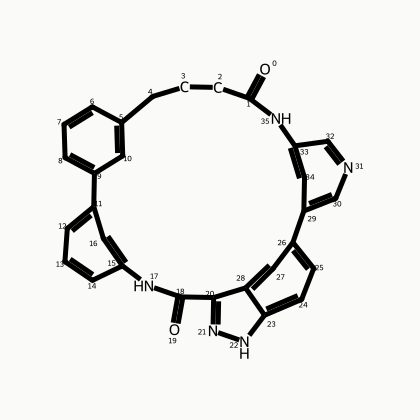 O=C1CCCc2cccc(c2)-c2cccc(c2)NC(=O)c2n[nH]c3ccc(cc23)-c2cncc(c2)N1